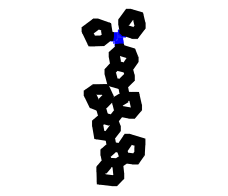 c1ccc(-c2ccc(-c3cc4ccccc4c4ccccc34)cc2-c2cccc(-c3ccc4cc(N(c5ccccc5)c5ccccc5)ccc4c3)c2)cc1